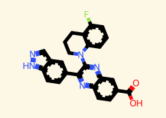 O=C(O)c1ccc2nc(-c3ccc4[nH]ncc4c3)c(N3CCCc4c(F)cccc43)nc2c1